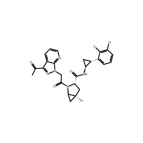 CC(=O)c1nn(CC(=O)N2C3C[C@@H]3C[C@H]2C(=O)N[C@H]2C[C@@H]2c2cccc(Cl)c2F)c2ncccc12